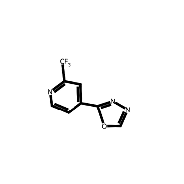 FC(F)(F)c1cc(-c2nnco2)ccn1